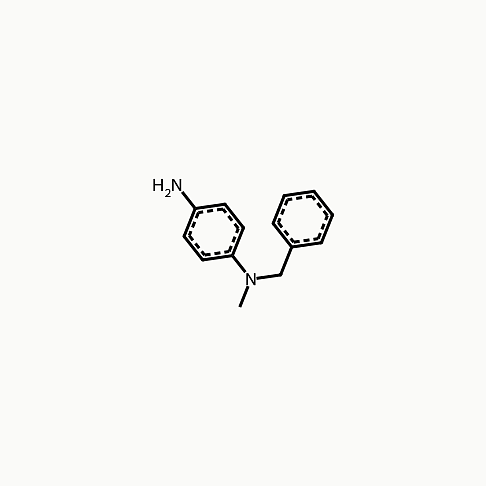 CN(Cc1ccccc1)c1ccc(N)cc1